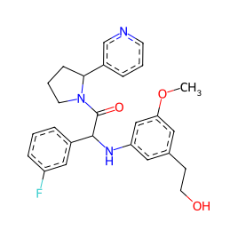 COc1cc(CCO)cc(NC(C(=O)N2CCCC2c2cccnc2)c2cccc(F)c2)c1